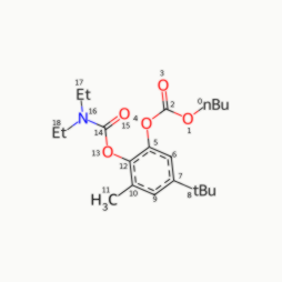 CCCCOC(=O)Oc1cc(C(C)(C)C)cc(C)c1OC(=O)N(CC)CC